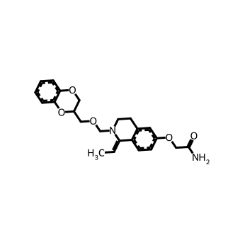 C/C=C1/c2ccc(OCC(N)=O)cc2CCN1COCC1COc2ccccc2O1